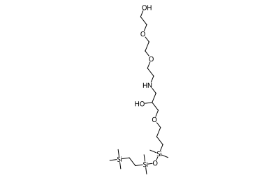 C[Si](C)(C)CC[Si](C)(C)O[Si](C)(C)CCCOCC(O)CNCCOCCOCCO